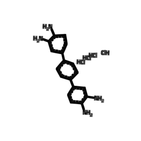 Cl.Cl.Cl.Cl.Nc1ccc(-c2ccc(-c3ccc(N)c(N)c3)cc2)cc1N